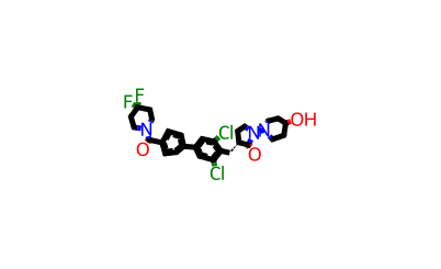 O=C(c1ccc(-c2cc(Cl)c(C[C@@H]3CCN(N4CCC(O)CC4)C3=O)c(Cl)c2)cc1)N1CCC(F)(F)CC1